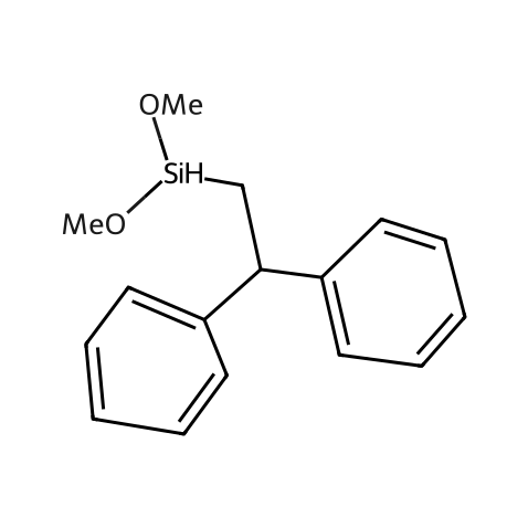 CO[SiH](CC(c1ccccc1)c1ccccc1)OC